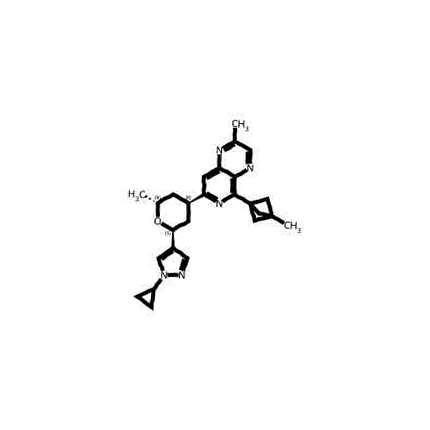 Cc1cnc2c(C34CC(C)(C3)C4)nc([C@@H]3C[C@@H](C)O[C@H](c4cnn(C5CC5)c4)C3)cc2n1